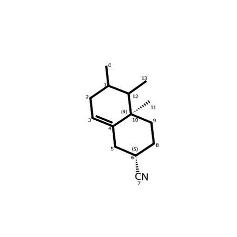 CC1CC=C2C[C@@H](C#N)CC[C@]2(C)C1C